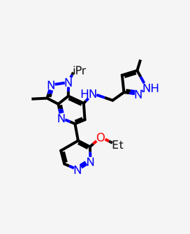 CCOc1nnccc1-c1cc(NCc2cc(C)[nH]n2)c2c(n1)c(C)nn2C(C)C